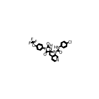 CC1(Cc2ccncc2NC(=O)Nc2ccc(Cl)cc2)NC(=O)N(c2ccc(OC(F)(F)F)cc2)C1=O